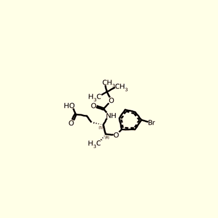 C[C@@H](Oc1cccc(Br)c1)[C@H](CCC(=O)O)NC(=O)OC(C)(C)C